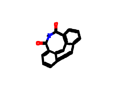 O=C1[N]C(=O)c2cccc3cc4cccc1c4cc23